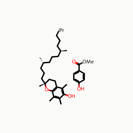 COC(=O)c1ccc(O)cc1.Cc1c(C)c2c(c(C)c1O)CC[C@@](C)(CCC[C@H](C)CCC[C@H](C)CCCC(C)C)O2